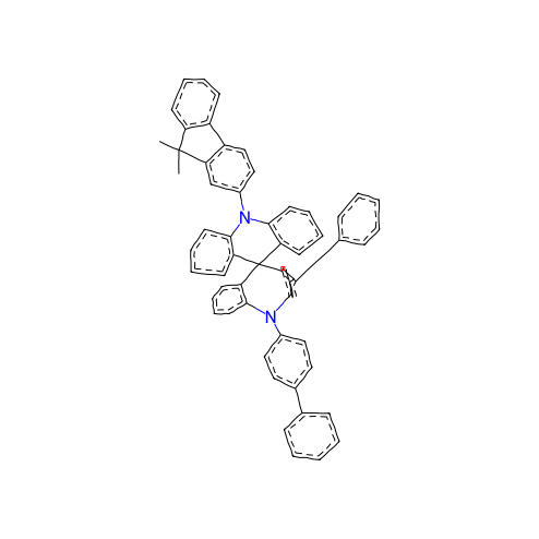 CC1(C)c2ccccc2-c2ccc(N3c4ccccc4C4(c5ccccc53)c3ccccc3N(c3ccc(-c5ccccc5)cc3)c3ccc(-c5ccccc5)cc34)cc21